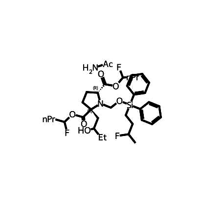 CC(N)=O.CCCC(F)OC(=O)[C@H]1CC[C@@](CC(O)CC)(C(=O)OC(F)CCC)N1CO[Si](CCC(C)F)(c1ccccc1)c1ccccc1